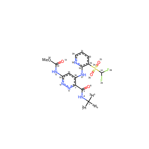 [2H]C([2H])([2H])NC(=O)c1nnc(NC(=O)OC)cc1Nc1ncccc1S(=O)(=O)C(F)F